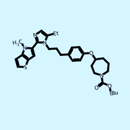 CCc1cnc(-c2cc3sccc3n2C)n1CCCc1ccc(OC2CCCN(C(=O)OC(C)(C)C)CC2)cc1